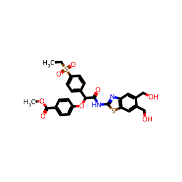 CCS(=O)(=O)c1ccc(C(Oc2ccc(C(=O)OC)cc2)C(=O)Nc2nc3cc(CO)c(CO)cc3s2)cc1